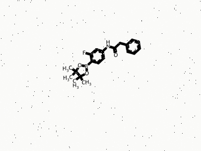 CC1(C)OB(c2ccc(NC(=O)Cc3ccccc3)cc2F)OC1(C)C